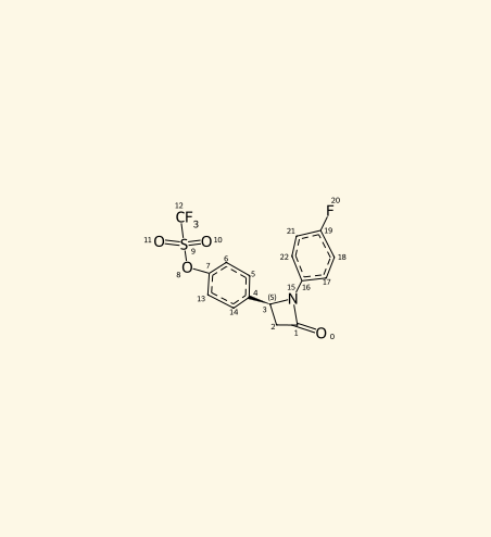 O=C1C[C@@H](c2ccc(OS(=O)(=O)C(F)(F)F)cc2)N1c1ccc(F)cc1